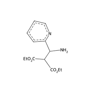 CCOC(=O)C(C(=O)OCC)C(N)c1ccccn1